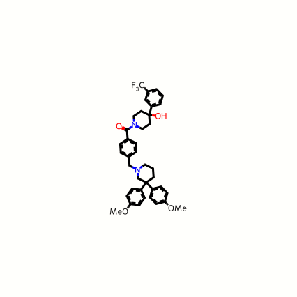 COc1ccc(C2(c3ccc(OC)cc3)CCCN(Cc3ccc(C(=O)N4CCC(O)(c5cccc(C(F)(F)F)c5)CC4)cc3)C2)cc1